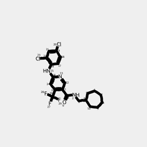 O=C(NCC1CCCCCC1)c1cnc(Nc2ccc(Cl)cc2Cl)cc1C(F)(F)F